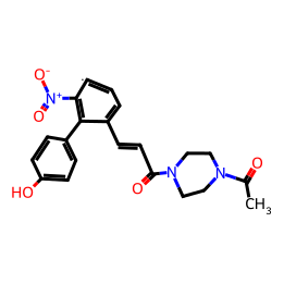 CC(=O)N1CCN(C(=O)/C=C/c2cc[c]c([N+](=O)[O-])c2-c2ccc(O)cc2)CC1